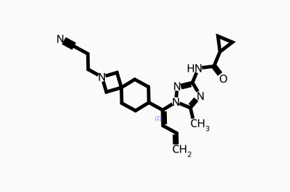 C=C/C=C(/C1CCC2(CC1)CN(CCC#N)C2)n1nc(NC(=O)C2CC2)nc1C